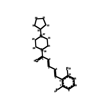 O=C(C=CC=Cc1c(F)cccc1F)N1CCN(C2CCCC2)CC1